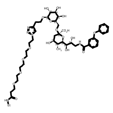 CCNC(=O)CCOCCOCCOCCOCCn1cc(CCO[C@@H]2O[C@H](CO[C@]3(C(=O)O)C[C@H](O)[C@@H](C)[C@H]([C@H](O)[C@H](O)CNC(=O)c4cccc(Oc5ccccc5)c4)O3)[C@H](O)[C@H](O)[C@H]2O)nn1